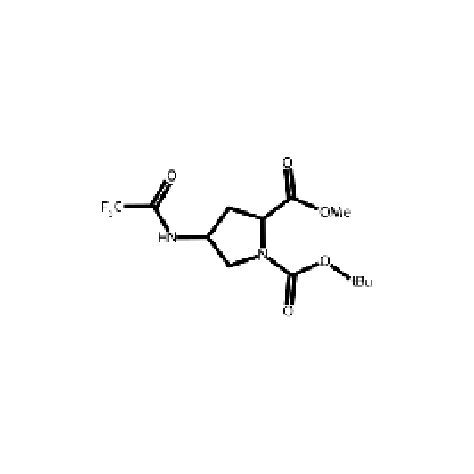 COC(=O)C1CC(NC(=O)C(F)(F)F)CN1C(=O)OC(C)(C)C